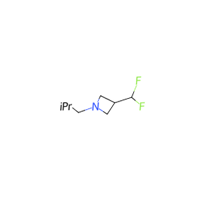 CC(C)CN1CC(C(F)F)C1